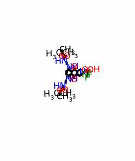 CC(C)(C)OC(=O)NCCNc1ccc(NCCNC(=O)OC(C)(C)C)c2c1C(=O)c1ccncc1C2=O.O=C(O)C(F)(F)F